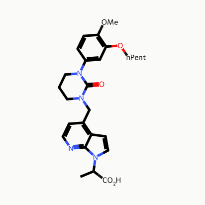 CCCCCOc1cc(N2CCCN(Cc3ccnc4c3ccn4C(C)C(=O)O)C2=O)ccc1OC